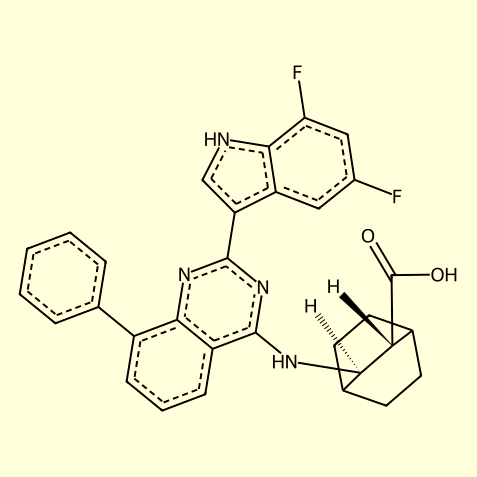 O=C(O)[C@@H]1C2CCC(CC2)[C@H]1Nc1nc(-c2c[nH]c3c(F)cc(F)cc23)nc2c(-c3ccccc3)cccc12